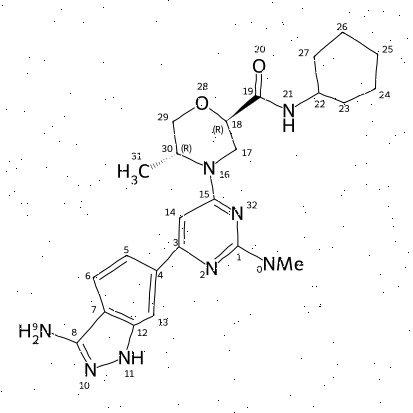 CNc1nc(-c2ccc3c(N)n[nH]c3c2)cc(N2C[C@H](C(=O)NC3CCCCC3)OC[C@H]2C)n1